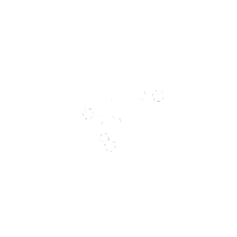 Cc1ccccc1C(=O)N1CCC(OCC(=O)N[C@H](Cc2c[nH]c3ccccc23)C(=O)N2C[C@H](CN(C)C)Cc3cc(Cl)ccc32)CC1